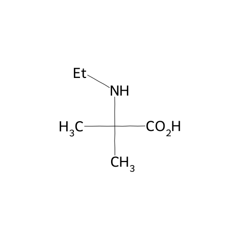 CCNC(C)(C)C(=O)O